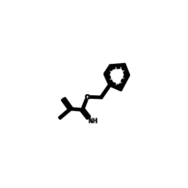 C=C(C)C(=N)OCc1ccccc1